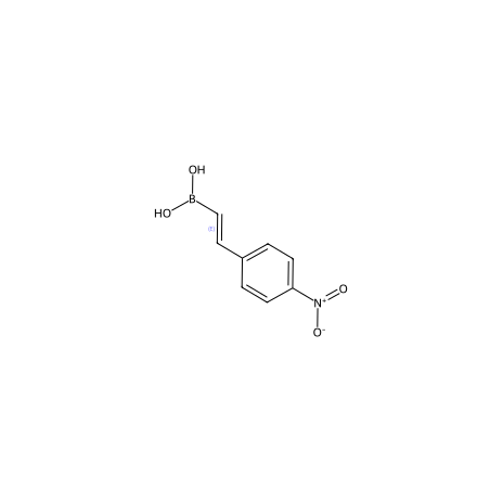 O=[N+]([O-])c1ccc(/C=C/B(O)O)cc1